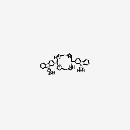 B=C[Si]1(C=B)c2ccccc2-c2ccc(-c3c4nc(cc5ccc([nH]5)c(-c5ccc6c(c5)[Si](C=B)(C=B)c5ccccc5-6)c5nc(cc6ccc3[nH]6)C=C5)C=C4)cc21